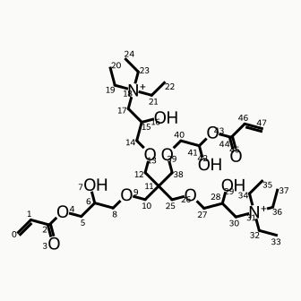 C=CC(=O)OCC(O)COCC(COCC(O)C[N+](CC)(CC)CC)(COCC(O)C[N+](CC)(CC)CC)COCC(O)OC(=O)C=C